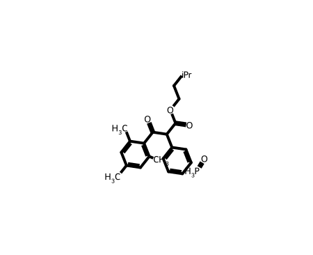 Cc1cc(C)c(C(=O)C(C(=O)OCCC(C)C)c2ccccc2)c(C)c1.O=[PH3]